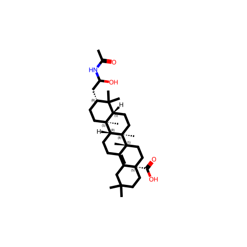 CC(=O)NC(O)C[C@H]1CC[C@]2(C)[C@H]3CCC4=C5CC(C)(C)CC[C@]5(C(=O)O)CC[C@@]4(C)[C@]3(C)CC[C@H]2C1(C)C